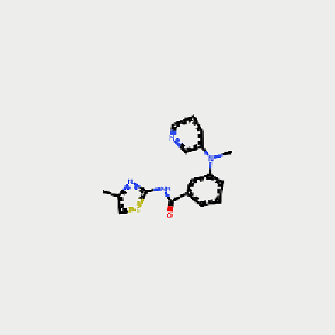 Cc1csc(NC(=O)c2cccc(N(C)c3cccnc3)c2)n1